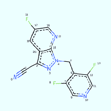 N#Cc1nn(Cc2c(F)cncc2F)c2ncc(F)cc12